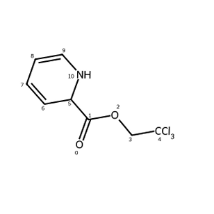 O=C(OCC(Cl)(Cl)Cl)C1C=CC=CN1